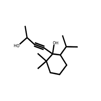 CC(O)C#CC1(O)C(C(C)C)CCCC1(C)C